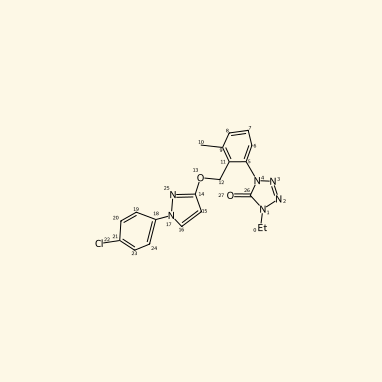 CCn1nnn(-c2cccc(C)c2COc2ccn(-c3ccc(Cl)cc3)n2)c1=O